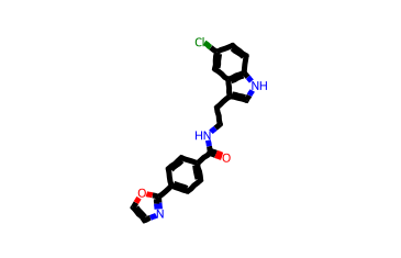 O=C(NCCc1c[nH]c2ccc(Cl)cc12)c1ccc(-c2ncco2)cc1